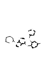 Fc1ccc(Nc2ncnc3c2ncn3C2CCCCO2)c(Nc2ccncn2)c1